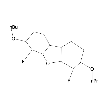 CCCCOC1CCC2C3CCC(OCCC)C(F)C3OC2C1F